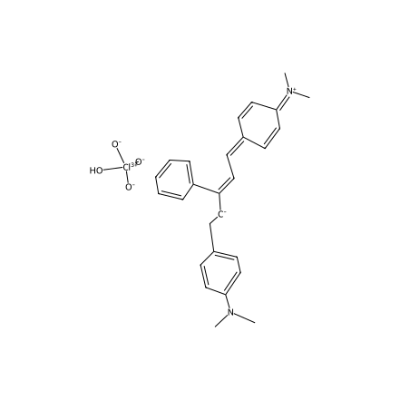 CN(C)c1ccc(C[CH-]/C(=C/C=C2C=CC(=[N+](C)C)C=C2)c2ccccc2)cc1.[O-][Cl+3]([O-])([O-])O